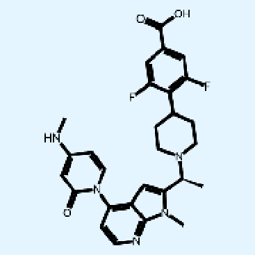 CNc1ccn(-c2ccnc3c2cc([C@H](C)N2CCC(c4c(F)cc(C(=O)O)cc4F)CC2)n3C)c(=O)c1